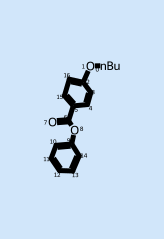 CCCCOc1ccc(C(=O)Oc2ccccc2)cc1